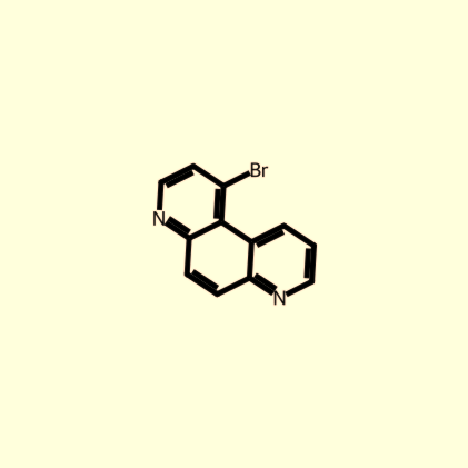 Brc1ccnc2ccc3ncccc3c12